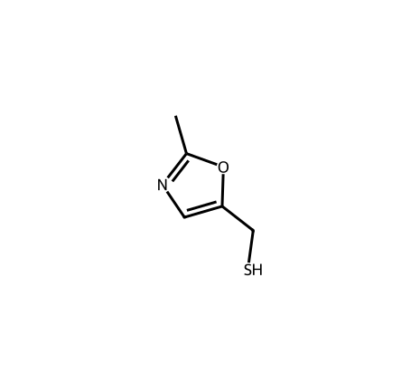 Cc1ncc(CS)o1